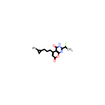 CC(F)c1nc2oc(=O)cc(CCCC3CC3C(C)C)c2c(=O)[nH]1